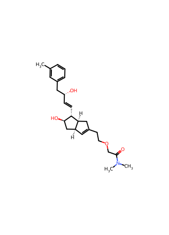 Cc1cccc(C[C@H](O)/C=C/[C@@H]2[C@H]3CC(CCOCC(=O)N(C)C)=C[C@H]3C[C@H]2O)c1